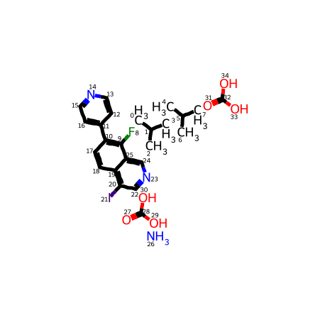 CC(C)C.CC(C)C.Fc1c(-c2ccncc2)ccc2c(I)cncc12.N.O=C(O)O.O=C(O)O